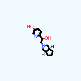 Oc1ccc(C(O)CN2C[C@H]3CCC[C@H]3C2)nc1